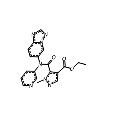 CCOC(=O)c1cnn(C)c1C(=O)N(c1cccnc1)c1ccc2ncnn2c1